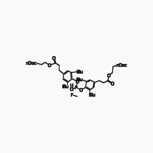 CCCCCCCCCCCCOC(=O)CCc1cc(C(C)CC)c(OP(O)Oc2c(C(C)CC)cc(CCC(=O)OCCCCCCCCCCCC)cc2C(C)CC)c(C(C)CC)c1.CF